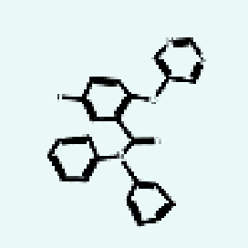 O=C(c1cc(F)ccc1Oc1cncnc1)N(c1ccccc1)c1ccccc1